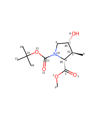 COC(=O)[C@H]1[C@H](C)[C@@H](O)CN1C(=O)OC(C)(C)C